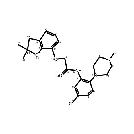 CN1CCN(c2ccc(Cl)cc2NC(=O)COc2cccc3c2OC(C)(C)C3)CC1